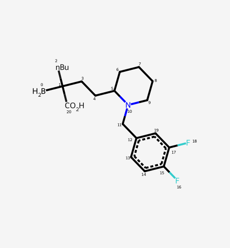 BC(CCCC)(CCC1CCCCN1Cc1ccc(F)c(F)c1)C(=O)O